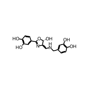 Oc1ccc(CN/C=C2/N=C(c3ccc(O)c(O)c3)O[C@@H]2O)cc1O